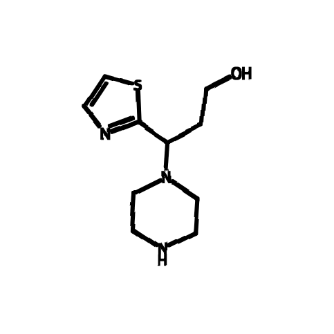 OCCC(c1nccs1)N1CCNCC1